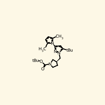 Cc1ccc(C)n1-c1cc(C(C)(C)C)n(C[C@H]2CCN(C(=O)OC(C)(C)C)C2)n1